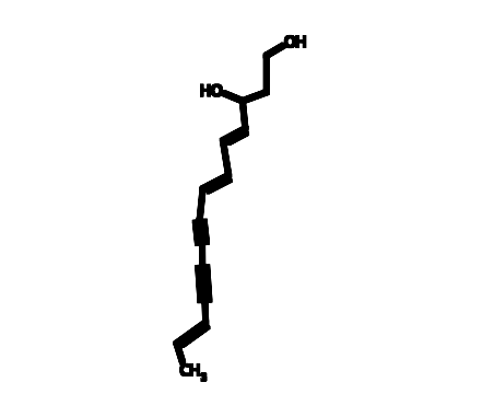 C/C=C/C#CC#C/C=C/C=C/C(O)CCO